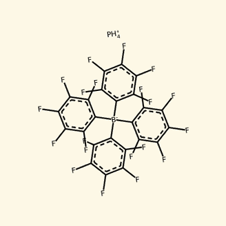 Fc1c(F)c(F)c([B-](c2c(F)c(F)c(F)c(F)c2F)(c2c(F)c(F)c(F)c(F)c2F)c2c(F)c(F)c(F)c(F)c2F)c(F)c1F.[PH4+]